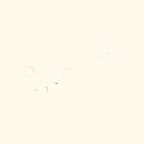 N=C(N)NOCCCOc1ccc(C[C@H](NS(=O)(=O)c2ccccc2)C(=O)OC(=O)C(F)(F)F)cc1